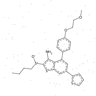 CCCC[S+]([O-])c1sc2cc(-c3cccs3)cc(-c3ccc(OCCOC)cc3)c2c1N